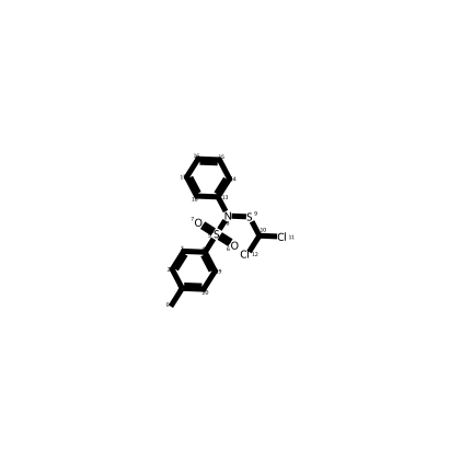 Cc1ccc(S(=O)(=O)N(SC(Cl)Cl)c2ccccc2)cc1